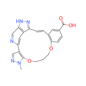 Cn1ncc2c1OCCCOc1ccc(C(=O)O)cc1/C=C/c1n[nH]c3cnc-2cc13